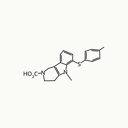 Cc1ccc(Sc2cccc3c4c(n(C)c23)CCN(C(=O)O)C4)cc1